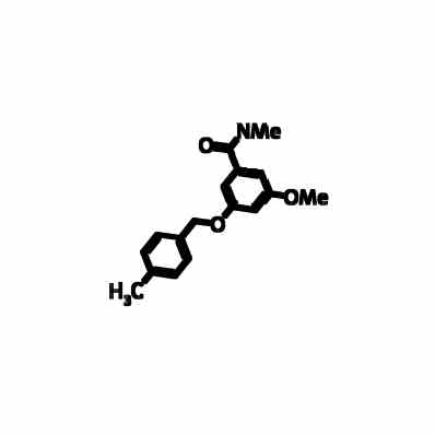 CNC(=O)c1cc(OC)cc(OCc2ccc(C)cc2)c1